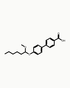 CCCCCC(OC)Oc1ccc(-c2ccc(C(=O)O)cc2)cc1